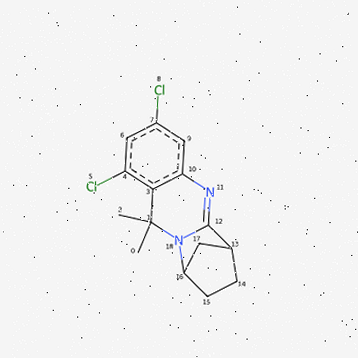 CC1(C)c2c(Cl)cc(Cl)cc2N=C2C3CCC(C3)N21